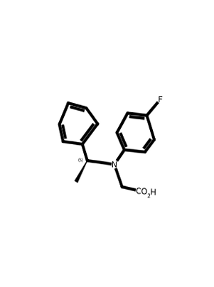 C[C@@H](c1ccccc1)N(CC(=O)O)c1ccc(F)cc1